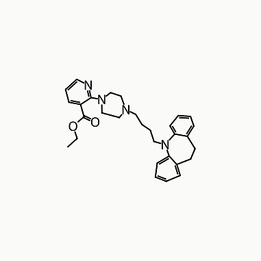 CCOC(=O)c1cccnc1N1CCN(CCCCN2c3ccccc3CCc3ccccc32)CC1